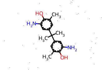 Cc1cc(C(C)(C)c2cc(C)c(O)c(N)c2)cc(N)c1O